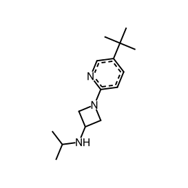 CC(C)NC1CN(c2ccc(C(C)(C)C)cn2)C1